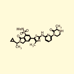 CNS(=O)(=O)c1cc(-c2sc(Nc3cccc(N4CCN[C@H](C)C4=O)n3)nc2C)cc2c1C(=O)N([C@@H](C)C1CC1)C2